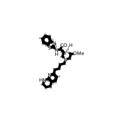 COC(C)CN(CCCCc1ccc2c(n1)NCCC2)CCC(Nc1nc2ccccc2s1)C(=O)O